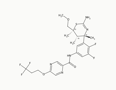 COC[C@@]1(C)SC(N)=N[C@](C)(c2cc(NC(=O)c3cnc(OCCC(F)(F)F)cn3)cc(F)c2F)[C@@H]1C